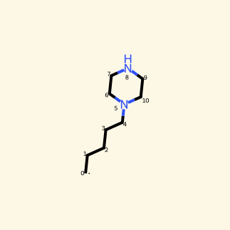 [CH2]CCCCN1CCNCC1